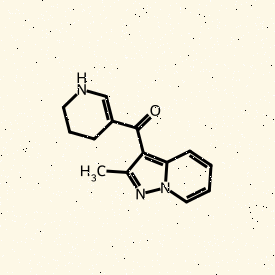 Cc1nn2ccccc2c1C(=O)C1=CNCCC1